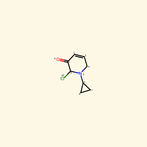 O=C1C=CCN(C2CC2)C1Cl